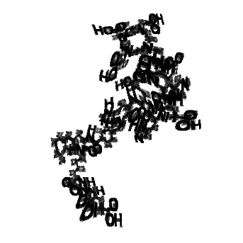 O=C(O)CCC(NC(=O)NC(CCCCNC(=O)C(Cc1ccc2ccccc2c1)NC(=O)C1CCC(CNC(=O)C(Cc2cnc[nH]2)NC(=O)C(CCC(=O)O)NC(=O)C(Cc2cnc[nH]2)NC(=O)C(CCC(=O)O)NC(=O)C(Cc2cnc[nH]2)NC(=O)C(CCC(=O)O)NC(=O)CN2CCN(CC(=O)O)CCN(CC(=O)O)CCN(CC(=O)O)CC2)CC1)C(=O)O)C(=O)O